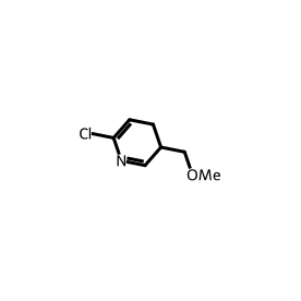 COCC1C=NC(Cl)=CC1